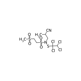 CC(C#N)CN(SC(Cl)(Cl)C(Cl)Cl)S(=O)(=O)CCS(C)(=O)=O